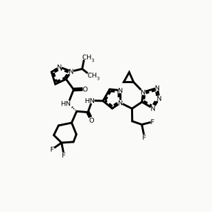 CC(C)n1nccc1C(=O)N[C@H](C(=O)Nc1cnn(C(CC(F)F)c2nnnn2C2CC2)c1)C1CCC(F)(F)CC1